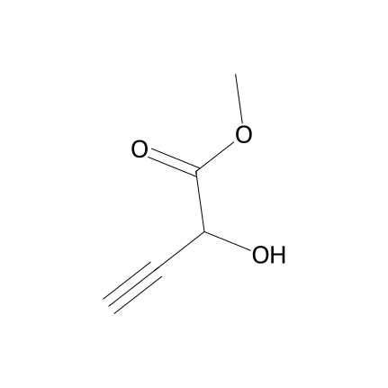 C#CC(O)C(=O)OC